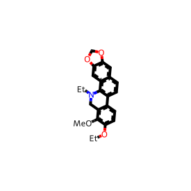 CCOc1ccc2c(c1OC)CN(CC)c1c-2ccc2cc3c(cc12)OCO3